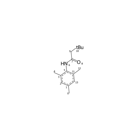 Cc1cc(C)c(NC(=O)CC(C)(C)C)c(C)c1